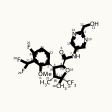 COc1c([C@@H]2[C@@H](C(=O)Nc3cnc(CO)nc3)O[C@](C)(C(F)(F)F)[C@@H]2C)ccc(F)c1C(F)F